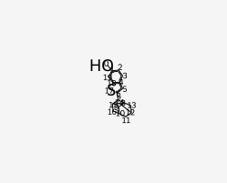 Oc1ccc2cc(C3C4CC5CC(C4)CC3C5)sc2c1